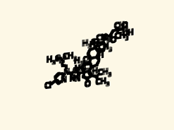 CC(C)C1=C2[C@H]3CC[C@@H]4[C@@]5(C)CC[C@H](OC(=O)CC(C)(C)C(=O)O)C(C)(C)[C@@H]5CC[C@@]4(C)[C@]3(C)CC[C@@]2(c2nnc(N(CCN(C)C)c3ccc(Cl)cn3)o2)CC1=O